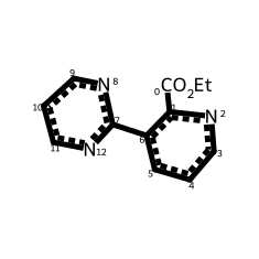 CCOC(=O)c1ncccc1-c1ncccn1